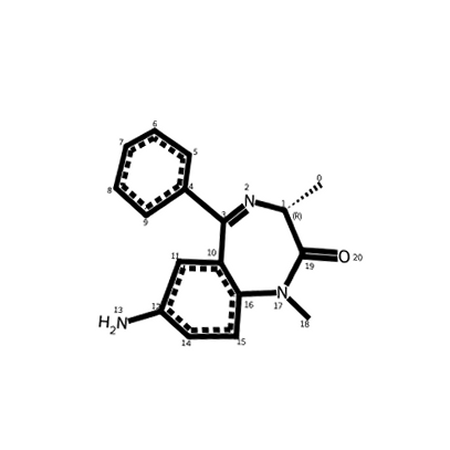 C[C@H]1N=C(c2ccccc2)c2cc(N)ccc2N(C)C1=O